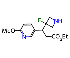 CCOC(=O)CC(c1ccc(OC)nc1)C1(F)CNC1